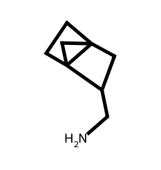 NCC1CC23CCC12C3